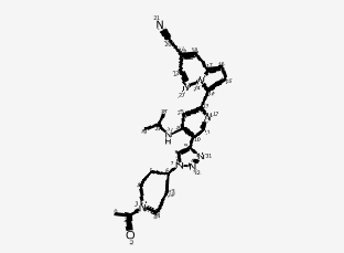 CC(=O)N1CCC(n2cc(-c3cnc(-c4ccc5cc(C#N)cnn45)cc3NC(C)C)nn2)CC1